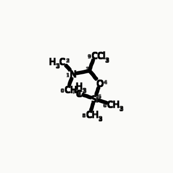 CN(C)C(O[Si](C)(C)C)C(Cl)(Cl)Cl